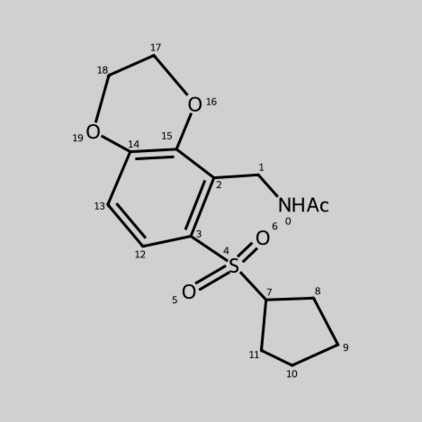 CC(=O)NCc1c(S(=O)(=O)C2CCCC2)ccc2c1OCCO2